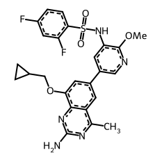 COc1ncc(-c2cc(OCC3CC3)c3nc(N)nc(C)c3c2)cc1NS(=O)(=O)c1ccc(F)cc1F